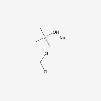 C[Si](C)(C)O.ClCCl.[Na]